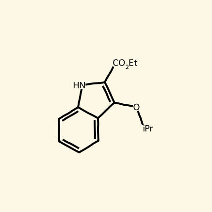 CCOC(=O)c1[nH]c2ccccc2c1OC(C)C